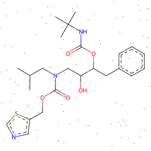 CC(C)CN(CC(O)C(Cc1ccccc1)OC(=O)NC(C)(C)C)C(=O)OCc1cncs1